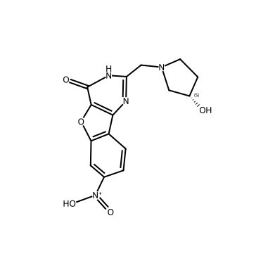 O=c1[nH]c(CN2CC[C@H](O)C2)nc2c1oc1cc([N+](=O)O)ccc12